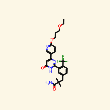 CCOCCCOc1ccc(-c2cc(=O)[nH]c(-c3cc(CC(C)(C)C(N)=O)ccc3C(F)(F)F)n2)cn1